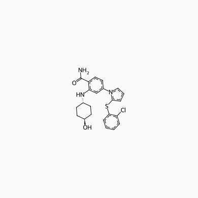 NC(=O)c1ccc(-n2cccc2Sc2ccccc2Cl)cc1N[C@H]1CC[C@H](O)CC1